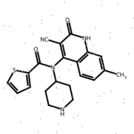 Cc1ccc2c(N(C(=O)c3cccs3)C3CCNCC3)c(C#N)c(=O)[nH]c2c1